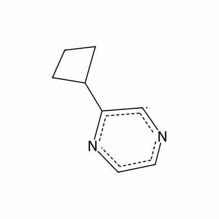 [c]1nccnc1C1CCC1